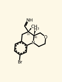 C[C@]1(C=N)Cc2ccc(Br)cc2N2CCOC[C@H]21